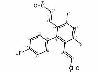 Cc1nc(C)c(/C=C/C=O)c(-c2ccc(F)cc2)c1/C=C/C=O